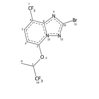 CC(Oc1ccc(C(F)(F)F)c2nc(Br)nn12)C(F)(F)F